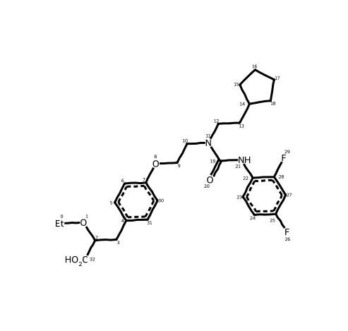 CCOC(Cc1ccc(OCCN(CCC2CCCC2)C(=O)Nc2ccc(F)cc2F)cc1)C(=O)O